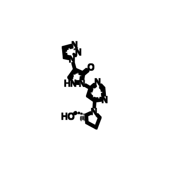 O=c1c(-n2ccnn2)c[nH]n1-c1cc(N2CCC[C@@H]2CO)ncn1